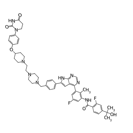 Cc1c(NC(=O)c2ccc(C(C)(C)O)cc2F)cc(F)cc1-c1ncnc2[nH]c(-c3ccc(CN4CCN(CCN5CCC(Oc6ccc(N7CCC(=O)NC7=O)cc6)CC5)CC4)cc3)cc12